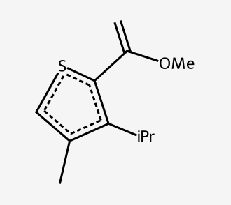 C=C(OC)c1scc(C)c1C(C)C